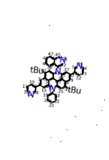 CC(C)(C)c1cc2c3c4c1cc(-c1cccnc1)cc4n(-c1ccccc1)c1cc(C(C)(C)C)c4cc(-c5cccnc5)cc(c4c1-3)n2-c1cncc2ccccc12